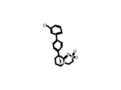 O=S1(=O)CCN2C(=N1)C1(c3ccc(-c4cccc(Cl)c4)cc3)CCC2CC1